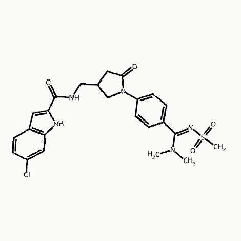 CN(C)C(=NS(C)(=O)=O)c1ccc(N2CC(CNC(=O)c3cc4ccc(Cl)cc4[nH]3)CC2=O)cc1